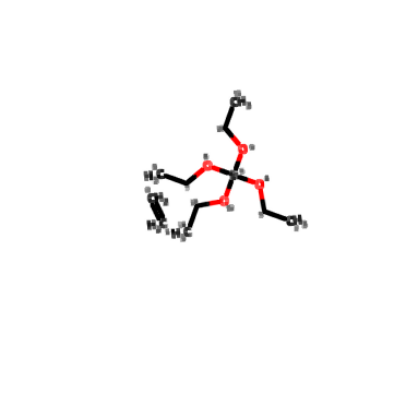 C=C.CCO[Si](OCC)(OCC)OCC